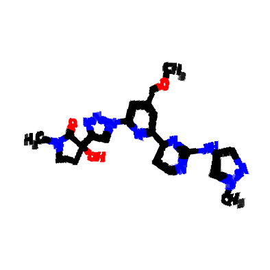 COCc1cc(-c2ccnc(Nc3cnn(C)c3)n2)nc(-n2cc(C3(O)CCN(C)C3=O)nn2)c1